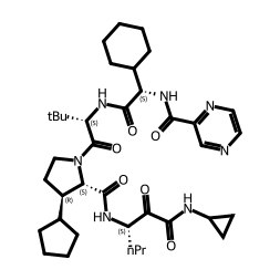 CCC[C@H](NC(=O)[C@@H]1[C@@H](C2CCCC2)CCN1C(=O)[C@@H](NC(=O)[C@@H](NC(=O)c1cnccn1)C1CCCCC1)C(C)(C)C)C(=O)C(=O)NC1CC1